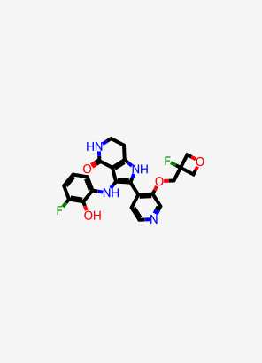 O=C1NCCc2[nH]c(-c3ccncc3OCC3(F)COC3)c(Nc3cccc(F)c3O)c21